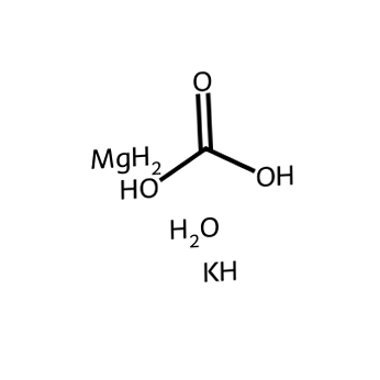 O.O=C(O)O.[KH].[MgH2]